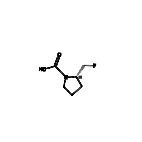 O=C(O)N1CCC[C@H]1CF